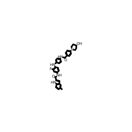 Cc1ccc2[nH]c(C(=O)Nc3ccc(Nc4ccc(NC(=O)c5ccc(N6CCC(O)CC6)cc5)cc4)c(F)c3)cc2c1